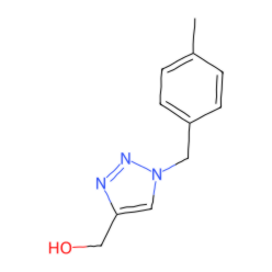 Cc1ccc(Cn2cc(CO)nn2)cc1